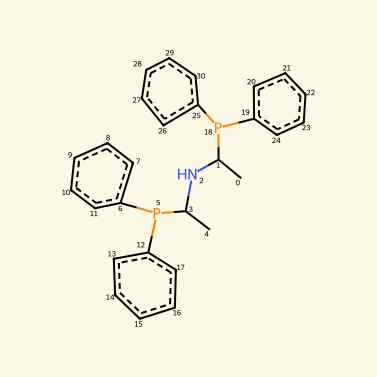 CC(NC(C)P(c1ccccc1)c1ccccc1)P(c1ccccc1)c1ccccc1